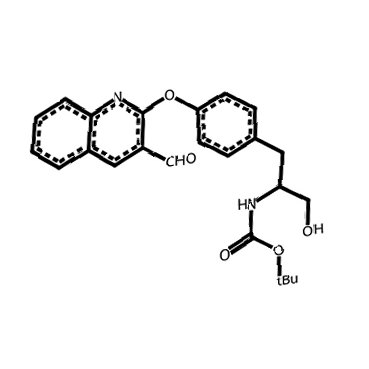 CC(C)(C)OC(=O)NC(CO)Cc1ccc(Oc2nc3ccccc3cc2C=O)cc1